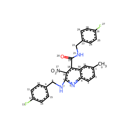 Cc1ccc2nc(NCc3ccc(F)cc3)c([N+](=O)[O-])c(C(=O)NCc3ccc(F)cc3)c2c1